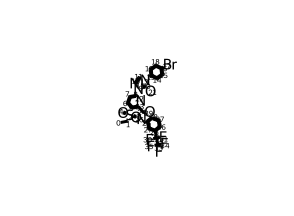 CCS(=O)(=O)c1ccc(-n2ncn(-c3ccc(Br)cc3)c2=O)nc1-c1nc2cc(C(F)(F)C(F)(F)F)ccc2o1